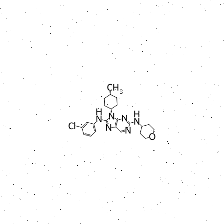 C[C@H]1CC[C@@H](n2c(Nc3cccc(Cl)c3)nc3cnc(NC4CCOCC4)nc32)CC1